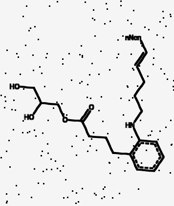 CCCCCCCCC/C=C/CCCNc1ccccc1CCCC(=O)OCC(O)CO